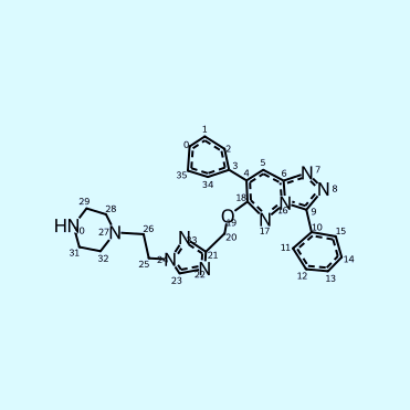 c1ccc(-c2cc3nnc(-c4ccccc4)n3nc2OCc2ncn(CCN3CCNCC3)n2)cc1